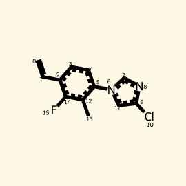 C=Cc1ccc(-n2cnc(Cl)c2)c(C)c1F